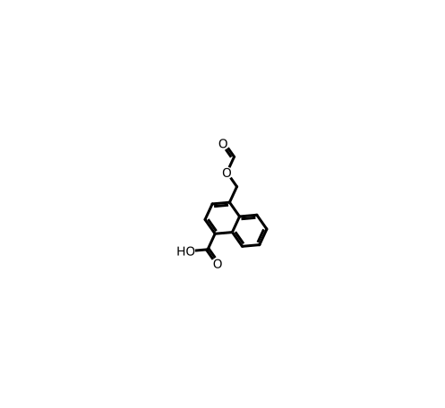 O=COCc1ccc(C(=O)O)c2ccccc12